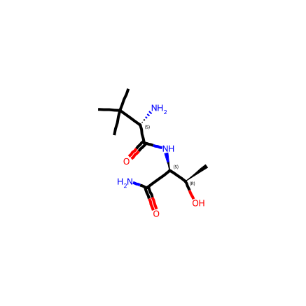 C[C@@H](O)[C@H](NC(=O)[C@@H](N)C(C)(C)C)C(N)=O